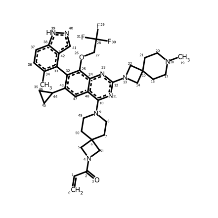 C=CC(=O)N1CC2(CCN(c3nc(N4CC5(CCN(C)CC5)C4)nc4c(OCC(F)(F)F)c(-c5c(C)ccc6[nH]ncc56)c(C5CC5)cc34)CC2)C1